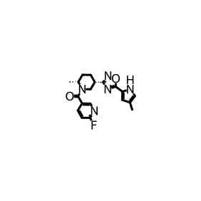 Cc1c[nH]c(-c2nc([C@H]3CC[C@@H](C)N(C(=O)c4ccc(F)nc4)C3)no2)c1